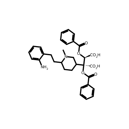 CN1CC([C@@](OC(=O)c2ccccc2)(C(=O)O)[C@@H](OC(=O)c2ccccc2)C(=O)O)CCC1CCc1ccccc1N